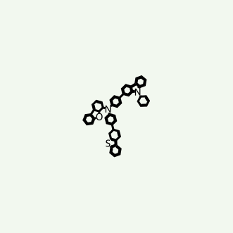 C1=CCC(n2c3ccccc3c3ccc(-c4ccc(N(c5ccc(C6C=Cc7c(sc8ccccc78)C6)cc5)C5C=CC=C6c7ccccc7OC65)cc4)cc32)C=C1